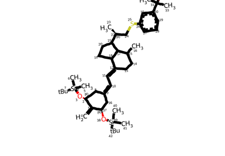 C=C1[C@H](O[Si](C)(C)C(C)(C)C)CC(=CC=C2CCC(C)C3C2CCC3[C@@H](C)CSc2cccc(C(C)(C)O)c2)C[C@H]1O[Si](C)(C)C(C)(C)C